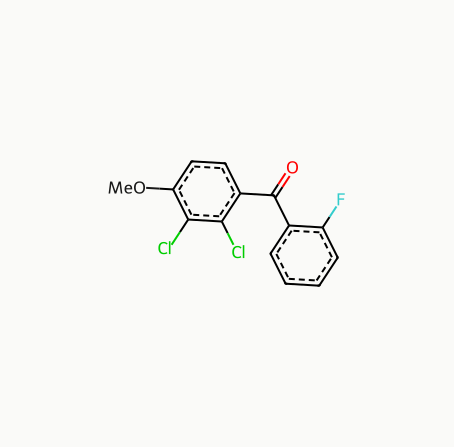 COc1ccc(C(=O)c2ccccc2F)c(Cl)c1Cl